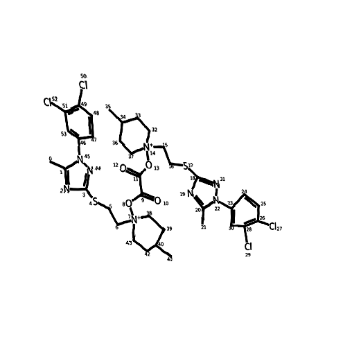 Cc1nc(SCC[N+]2(OC(=O)C(=O)O[N+]3(CCSc4nc(C)n(-c5ccc(Cl)c(Cl)c5)n4)CCC(C)CC3)CCC(C)CC2)nn1-c1ccc(Cl)c(Cl)c1